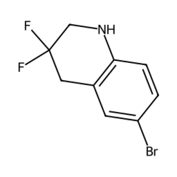 FC1(F)CNc2ccc(Br)cc2C1